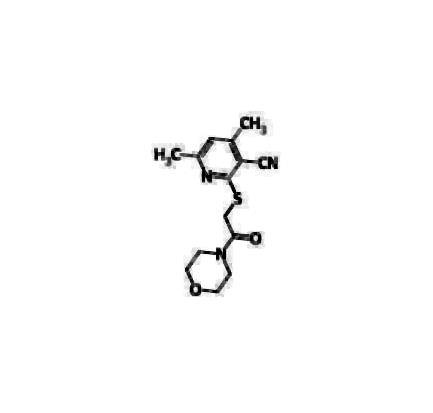 Cc1cc(C)c(C#N)c(SCC(=O)N2CCOCC2)n1